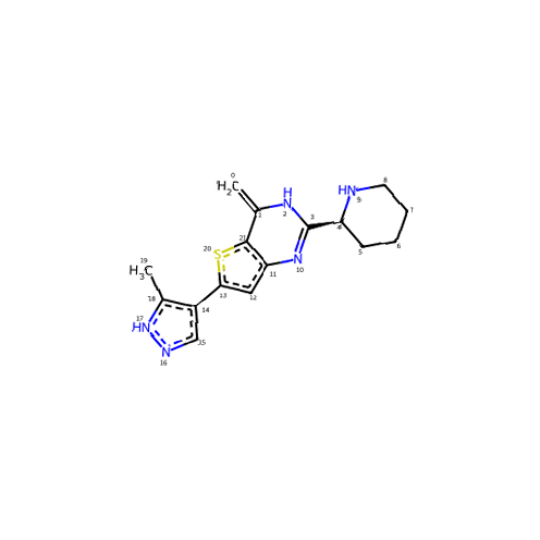 C=C1NC([C@@H]2CCCCN2)=Nc2cc(-c3cn[nH]c3C)sc21